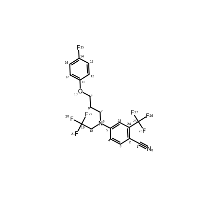 N#Cc1ccc(N(CCCOc2ccc(F)cc2)CC(F)(F)F)cc1C(F)(F)F